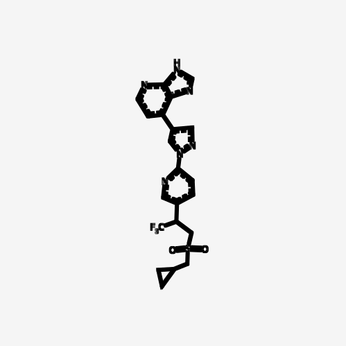 O=S(=O)(CC1CC1)CC(c1ccc(-n2cc(-c3ccnc4[nH]cnc34)cn2)nc1)C(F)(F)F